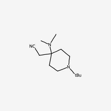 CN(C)C1(CC#N)CCN(C(C)(C)C)CC1